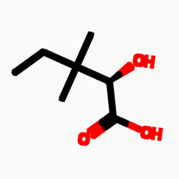 CCC(C)(C)[C@@H](O)C(=O)O